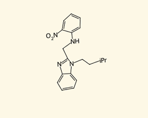 CC(C)CCn1c(CNc2ccccc2[N+](=O)[O-])nc2ccccc21